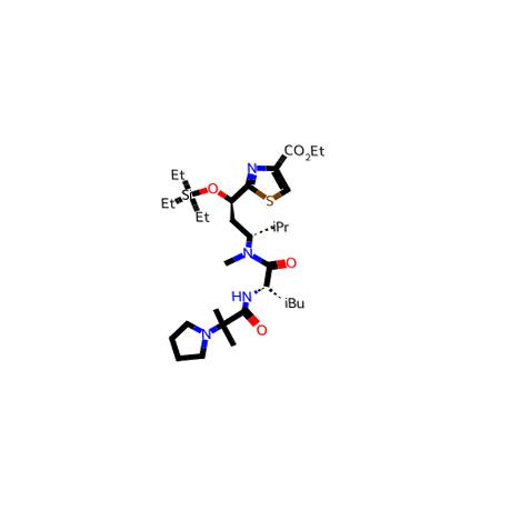 CCOC(=O)c1csc([C@@H](C[C@H](C(C)C)N(C)C(=O)[C@@H](NC(=O)C(C)(C)N2CCCC2)[C@@H](C)CC)O[Si](CC)(CC)CC)n1